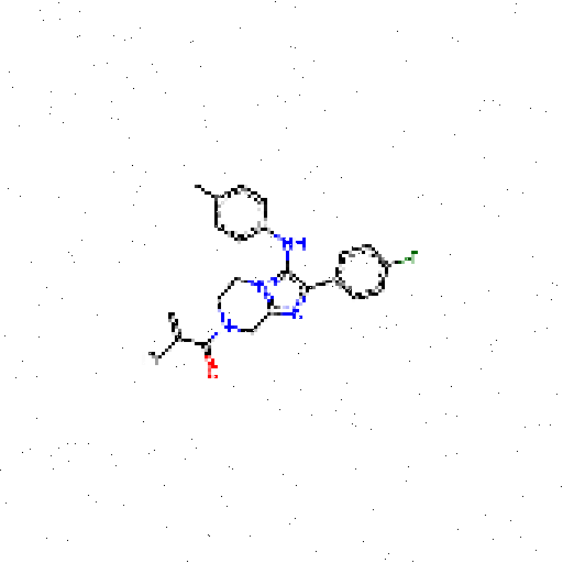 C=C(C(=O)N1CCn2c(nc(-c3ccc(F)cc3)c2Nc2ccc(C)cc2)C1)C(C)C